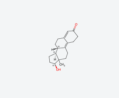 CC12CCC3=C4CCC(=O)C=C4CC[C@H]3[C@@H]1CC[C@@H]2O